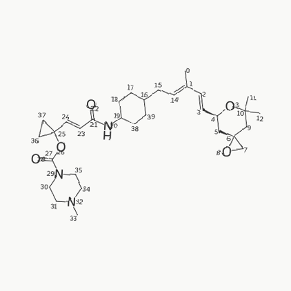 CC(C=C[C@@H]1C[C@]2(CO2)CC(C)(C)O1)=CCC1CCC(NC(=O)C=CC2(OC(=O)N3CCN(C)CC3)CC2)CC1